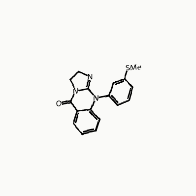 CSc1cccc(N2C3=NCCN3C(=O)c3ccccc32)c1